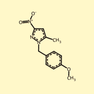 COc1ccc(Cn2nc([N+](=O)[O-])cc2C)cc1